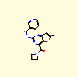 Cc1cc2nc(N[C@@H](C)c3cccnc3)nc(C(=O)N3CCC3)c2s1